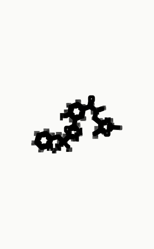 Cc1nc(CN(C)C(=O)c2ccc(F)c(-c3nnc([C@](C)(N)Cc4ccccc4)o3)c2)c(C)o1